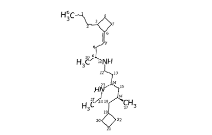 CCCC1CCC1=CCC(C)NCCC(C[C@@H](C)CC1CCC1)NCC